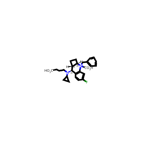 O=C(O)CCCN(C1CC1)[C@@H]1c2ccc(F)cc2[N+](Cc2ccccc2)(C(=O)O)[C@@H]2CC[C@@H]12